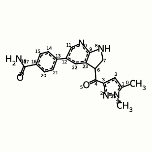 Cc1cc(C(=O)C2CNc3ncc(-c4ccc(C(N)=O)cc4)cc32)nn1C